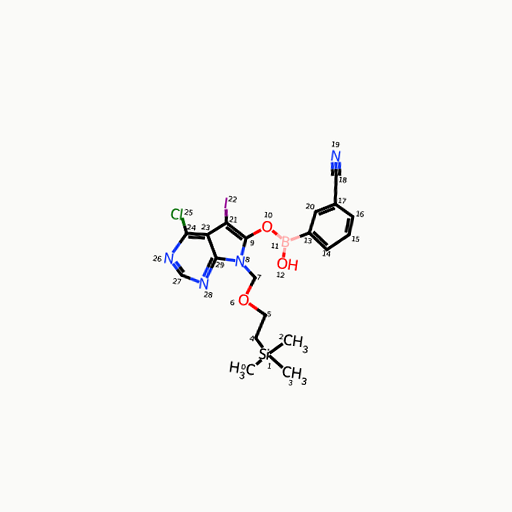 C[Si](C)(C)CCOCn1c(OB(O)c2cccc(C#N)c2)c(I)c2c(Cl)ncnc21